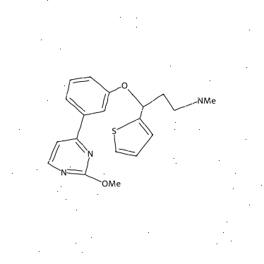 CNCCC(Oc1cccc(-c2ccnc(OC)n2)c1)c1cccs1